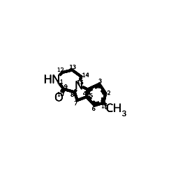 Cc1ccc2c(c1)CC1C(=O)NCCCN21